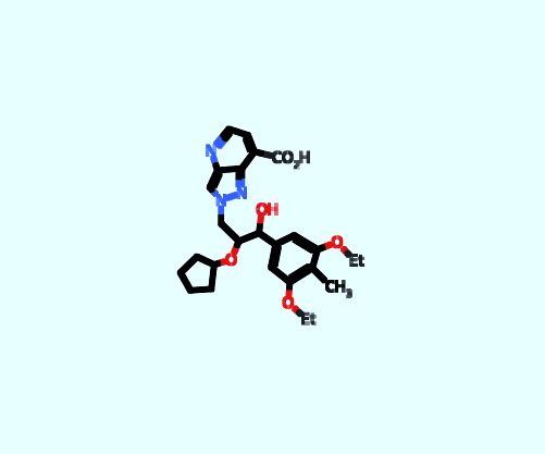 CCOc1cc(C(O)C(Cn2cc3nccc(C(=O)O)c3n2)OC2CCCC2)cc(OCC)c1C